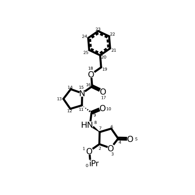 CC(C)OC1OC(=O)C[C@@H]1NC(=O)[C@@H]1CCCN1C(=O)OCc1ccccc1